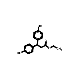 CCOC(=O)CC(c1ccc(O)cc1)c1ccc(O)cc1